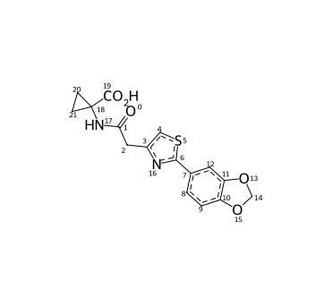 O=C(Cc1csc(-c2ccc3c(c2)OCO3)n1)NC1(C(=O)O)CC1